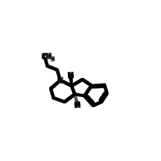 CCCN1CCC[C@@H]2c3ccccc3C[C@H]21